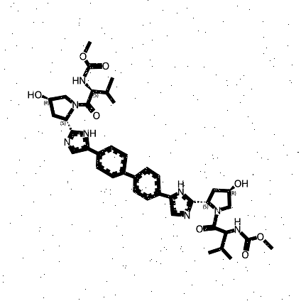 COC(=O)NC(C(=O)N1C[C@H](O)C[C@H]1c1ncc(-c2ccc(-c3ccc(-c4cnc([C@@H]5C[C@@H](O)CN5C(=O)[C@@H](NC(=O)OC)C(C)C)[nH]4)cc3)cc2)[nH]1)C(C)C